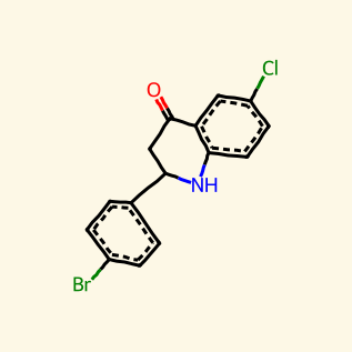 O=C1CC(c2ccc(Br)cc2)Nc2ccc(Cl)cc21